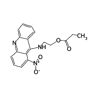 CCC(=O)OCCNc1c2ccccc2nc2cccc([N+](=O)[O-])c12